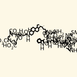 CSCC[C@H](NC(=O)[C@H](CC(C)C)NC(=O)[C@H](Cc1c[nH]cn1)NC(=O)CNC(=O)[C@@H](NC(=O)[C@H](C)NC(=O)[C@H](Cc1c[nH]c2ccccc12)NC(=O)[C@H](CCC(N)=O)NC(=O)CC[C@@H](C)[C@H]1CCC2C3CC[C@@H]4C[C@@H](NC(=O)CNC(=O)CN5CCN(CC(=O)O)CCN(CC(=O)O)CCN(CC(=O)O)CC5)CC[C@]4(C)C3CC[C@@]21C)C(C)C)C(N)=O